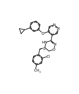 Cc1ccc(C[C@@H]2CON=C(c3cnncc3Oc3cccc(C4CC4)c3)N2)c(Cl)c1